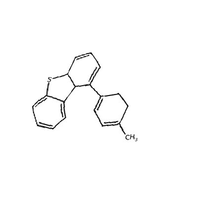 CC1=CC=C(C2=CC=CC3Sc4ccccc4C23)CC1